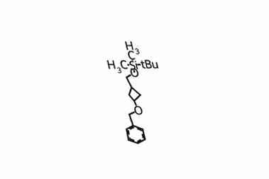 CC(C)(C)[Si](C)(C)OCC1CC(OCc2ccccc2)C1